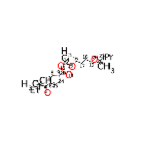 CCC(C)(C)C(=O)C1CCC(C(=O)OC(C)OCCCCOC(C)C(C)C)CC1